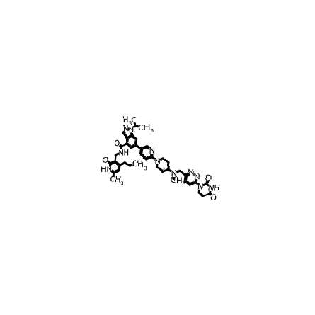 CCCc1cc(C)[nH]c(=O)c1CNC(=O)c1cc(-c2ccc(N3CCC(N(C)Cc4ccc(N5CCC(=O)NC5=O)nn4)CC3)nc2)cc2c1cnn2C(C)C